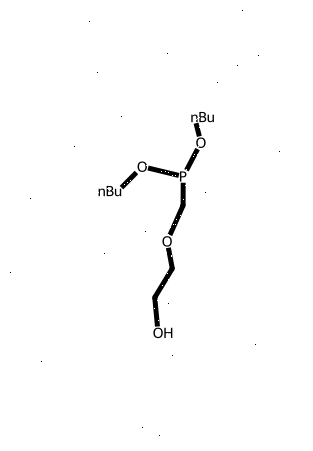 CCCCOP(COCCO)OCCCC